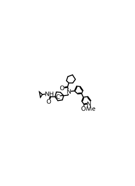 COc1cc(-c2cccc(N(CC34CCC(C(=O)NC5CC5)(CC3)CC4)C(=O)C3CCCCC3)c2)ccn1